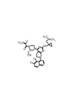 C=C(F)C(=O)N1CCN(c2nc(OCC3(CN(C)C)CC3)nc3c2CCN(c2cccc4ccc(F)c(Cl)c24)C3)C[C@@H]1CC#N